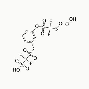 O=S(=O)(O)C(F)(F)S(=O)(=O)Cc1cccc(OS(=O)(=O)C(F)(F)SOOO)c1